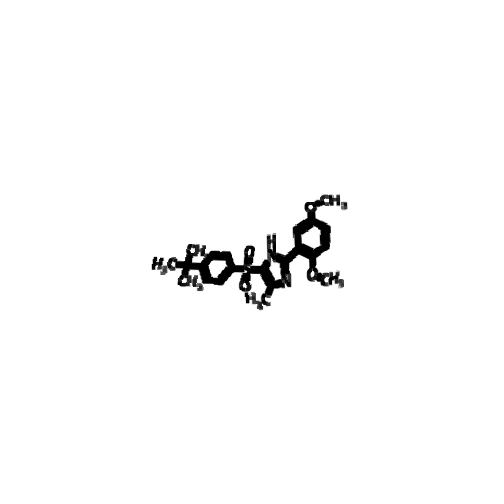 COc1ccc(OC)c(-c2nc(C)c(S(=O)(=O)c3ccc(C(C)(C)C)cc3)[nH]2)c1